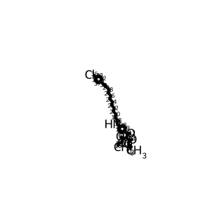 CCOC(=O)C(C(=O)OCC)C(=O)c1ccc(NCCCCCCCCCCCC#Cc2ccc(Cl)cc2)cc1